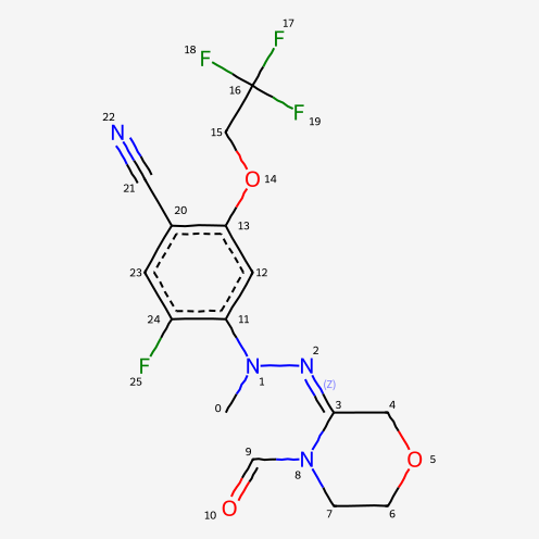 CN(/N=C1/COCCN1C=O)c1cc(OCC(F)(F)F)c(C#N)cc1F